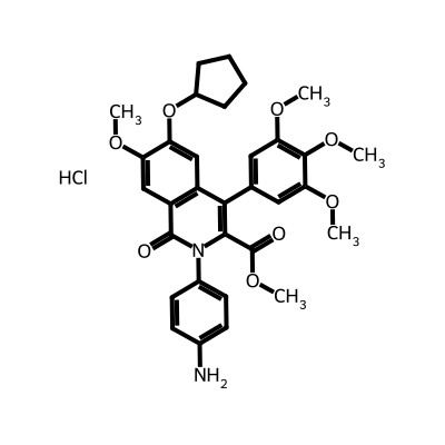 COC(=O)c1c(-c2cc(OC)c(OC)c(OC)c2)c2cc(OC3CCCC3)c(OC)cc2c(=O)n1-c1ccc(N)cc1.Cl